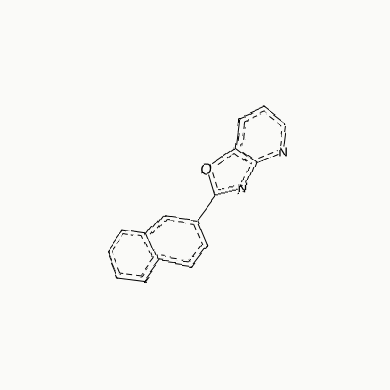 c1ccc2cc(-c3nc4ncccc4o3)ccc2c1